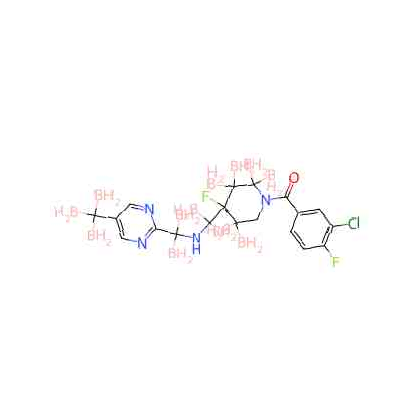 BC(B)(B)c1cnc(C(B)(B)NC(B)(B)C2(F)C(B)(B)CN(C(=O)c3ccc(F)c(Cl)c3)C(B)(B)C2(B)B)nc1